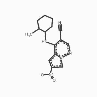 CC1CCCCC1Nc1c(C#N)cnn2cc([N+](=O)[O-])cc12